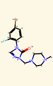 CN1CCN(Cn2ncn(-c3ccc(Br)cc3F)c2=O)CC1